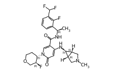 C[C@@H](NC(=O)c1cn([C@H]2CCOC[C@@H]2F)c(=O)cc1N[C@H]1[C@@H]2CN(C)C[C@@H]21)c1cccc(C(F)F)c1F